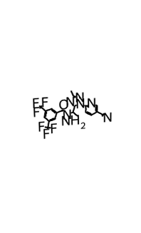 Cc1nc(C(C)N(N)C(=O)c2cc(C(F)(F)F)cc(C(F)(F)F)c2)n(-c2ccc(C#N)cn2)n1